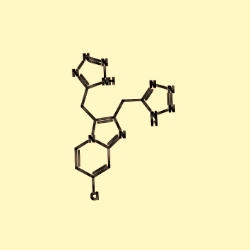 Clc1ccn2c(Cc3nnn[nH]3)c(Cc3nnn[nH]3)nc2c1